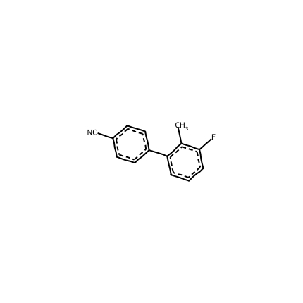 Cc1c(F)cccc1-c1ccc(C#N)cc1